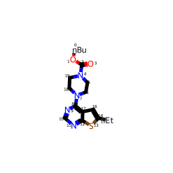 CCCCOC(=O)N1CCN(c2ncnc3sc(CC)cc23)CC1